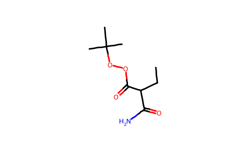 CCC(C(N)=O)C(=O)OOC(C)(C)C